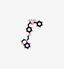 CCOC(=O)C(Cc1ccc(OCCN2CCOc3ccccc32)cc1)OCc1ccccc1